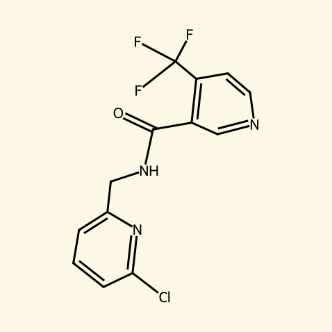 O=C(NCc1cccc(Cl)n1)c1cnccc1C(F)(F)F